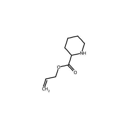 C=CCOC(=O)C1CCCCN1